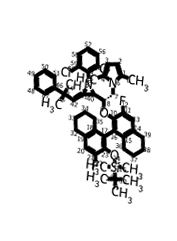 Cc1ccc(C)n1C[C@H](Oc1c(F)cc2c(c1-c1c3c(cc(F)c1O[Si](C)(C)C(C)(C)C)CCCC3)CCCC2)C1/C(=C/C(C)(C)c2ccccc2)N1c1c(Cl)cccc1Cl